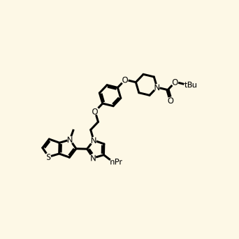 CCCc1cn(CCOc2ccc(OC3CCN(C(=O)OC(C)(C)C)CC3)cc2)c(-c2cc3sccc3n2C)n1